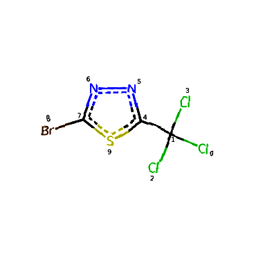 ClC(Cl)(Cl)c1nnc(Br)s1